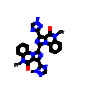 CC(C)n1c(=O)c2c(-c3nc[nH]n3)nc(-c3nc(-c4ncnn4C)c4c(=O)n(C(C)C)c5ccccc5n34)n2c2ccccc21